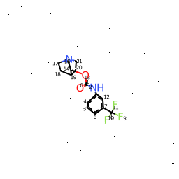 O=C(Nc1cccc(C(F)(F)F)c1)OC1CN2CCC1CC2